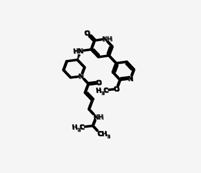 COc1cc(-c2c[nH]c(=O)c(N[C@H]3CCCN(C(=O)/C=C/CNC(C)C)C3)c2)ccn1